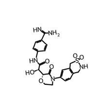 N=C(N)c1ccc(NC(=O)[C@H](O)[C@H]2OCCN(c3ccc4c(c3)CS(=O)(=O)NC4)C2=O)cc1